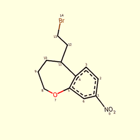 O=[N+]([O-])c1ccc2c(c1)OCCCC2CCBr